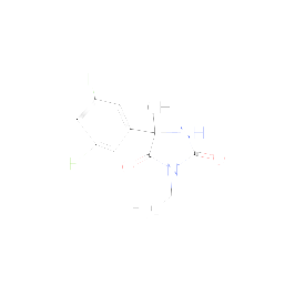 CC1(c2cc(F)cc(F)c2)NC(=O)N(CC(F)(F)F)C1=O